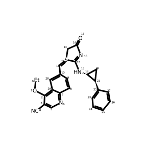 CCOc1c(C#N)cnc2ccc(/C=S3/CC(=O)N=C3N[C@@H]3C[C@H]3c3ccccc3)cc12